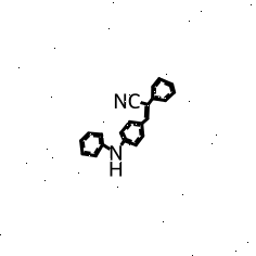 N#C/C(=C\c1ccc(Nc2ccccc2)cc1)c1ccccc1